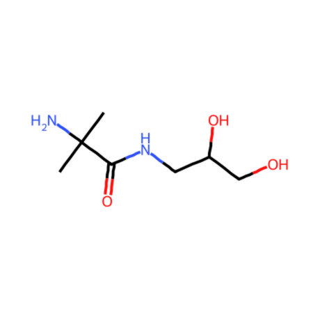 CC(C)(N)C(=O)NCC(O)CO